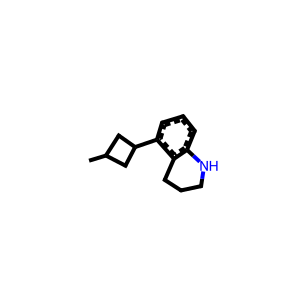 CC1CC(c2cccc3c2CCCN3)C1